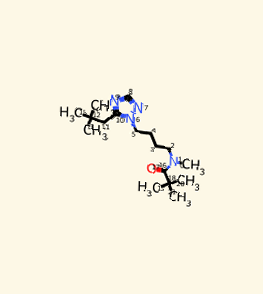 CN(CCCCn1ncnc1CC(C)(C)C)C(=O)C(C)(C)C